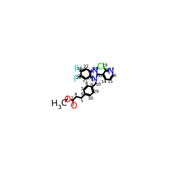 COC(=O)CCc1ccc(Cn2c(-c3cccnc3Cl)nc3cc(F)c(F)cc32)cc1